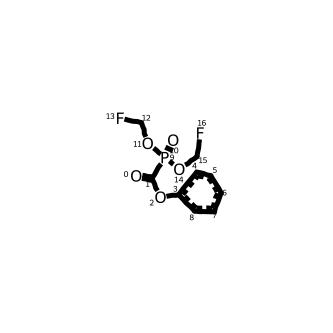 O=C(Oc1ccccc1)P(=O)(OCF)OCF